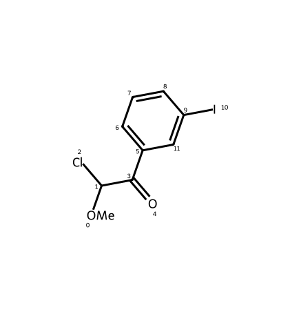 COC(Cl)C(=O)c1cccc(I)c1